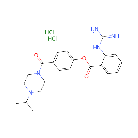 CC(C)N1CCN(C(=O)c2ccc(OC(=O)c3ccccc3NC(=N)N)cc2)CC1.Cl.Cl